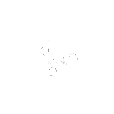 O=C(Nc1nn(Cc2ccc(C(F)(F)F)cc2)c2ccccc12)c1ccno1